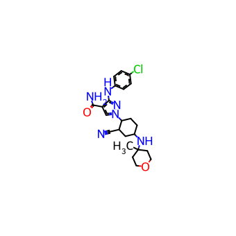 CC1(NC2CCC(n3cc(C(N)=O)c(Nc4ccc(Cl)cc4)n3)C(C#N)C2)CCOCC1